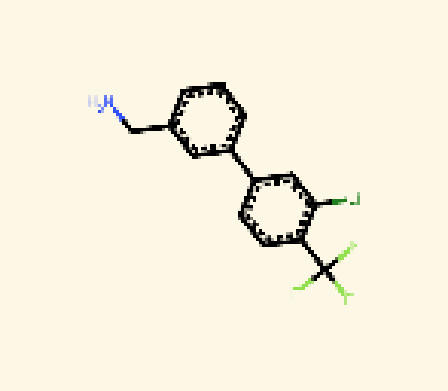 NCc1cccc(-c2ccc(C(F)(F)F)c(Cl)c2)c1